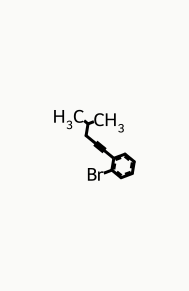 CC(C)CC#Cc1ccccc1Br